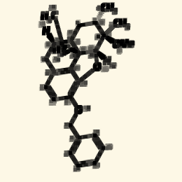 CO[C@]1(C)[C@@H](C)C[C@]2(C)[C@H]3Cc4ccc(OCc5ccccc5)c5c4[C@@]2(CCN3C)[C@H]1O5